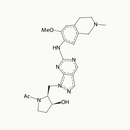 COc1cc2c(cc1Nc1ncc3cnn(C[C@H]4[C@@H](O)CCN4C(C)=O)c3n1)CN(C)CC2